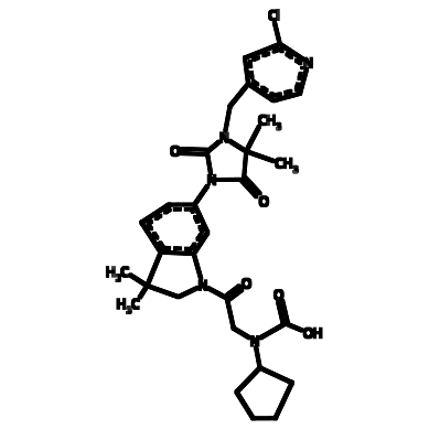 CC1(C)CN(C(=O)CN(C(=O)O)C2CCCC2)c2cc(N3C(=O)N(Cc4ccnc(Cl)c4)C(C)(C)C3=O)ccc21